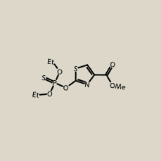 CCOP(=S)(OCC)Oc1nc(C(=O)OC)cs1